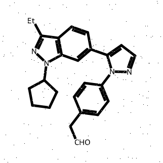 CCc1nn(C2CCCC2)c2cc(-c3ccnn3-c3ccc(CC=O)cc3)ccc12